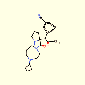 CC(=O)C(c1cccc(C#N)c1)C1(C(=O)N2CCCN(C3CCC3)CC2)CCCN1